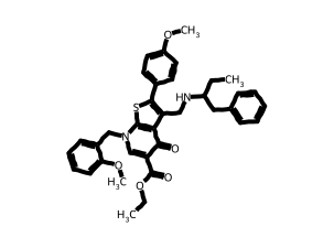 CCOC(=O)c1cn(Cc2ccccc2OC)c2sc(-c3ccc(OC)cc3)c(CNC(CC)Cc3ccccc3)c2c1=O